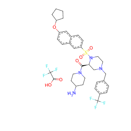 NC1CCN(C(=O)[C@@H]2CN(Cc3ccc(C(F)(F)F)cc3)CCN2S(=O)(=O)c2ccc3cc(OC4CCCC4)ccc3c2)CC1.O=C(O)C(F)(F)F